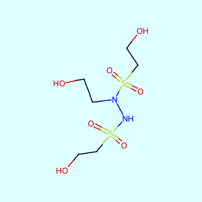 O=S(=O)(CCO)NN(CCO)S(=O)(=O)CCO